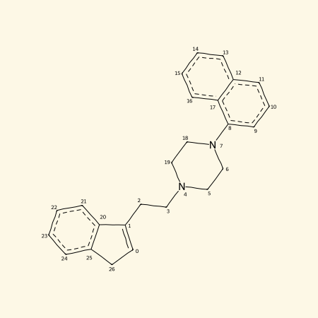 C1=C(CCN2CCN(c3cccc4ccccc34)CC2)c2ccccc2C1